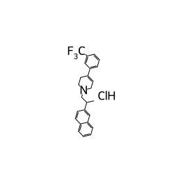 CC(CN1CC=C(c2cccc(C(F)(F)F)c2)CC1)c1ccc2ccccc2c1.Cl